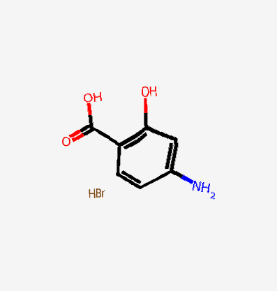 Br.Nc1ccc(C(=O)O)c(O)c1